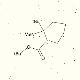 CNC1(C(C)(C)C)CCCCN1C(=O)OC(C)(C)C